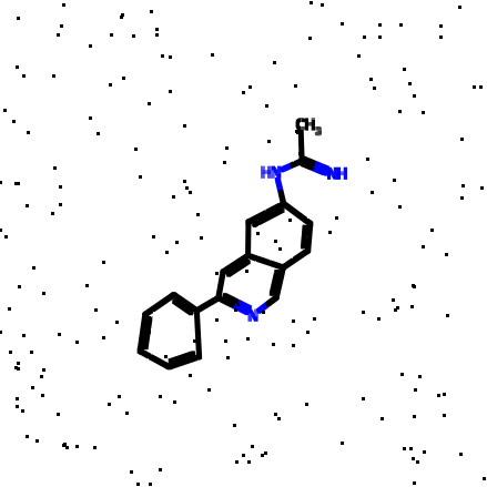 CC(=N)Nc1ccc2cnc(-c3ccccc3)cc2c1